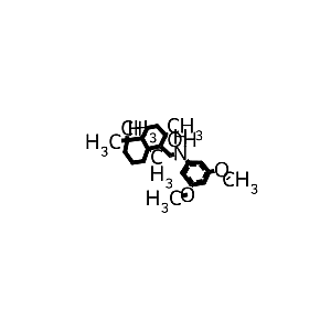 COc1cc(NCC2[C@](C)(O)CC[C@H]3C(C)(C)CCC[C@]23C)cc(OC)c1